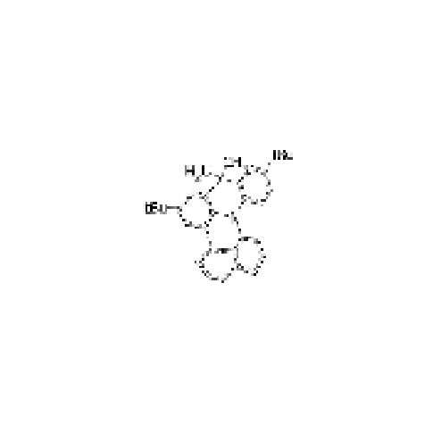 CC(C)(C)c1ccc2c(c1)C(C)(C)c1cc(C(C)(C)C)cc3c1N2c1cccc2cccc-3c12